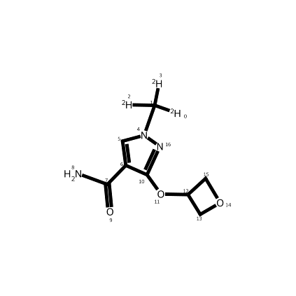 [2H]C([2H])([2H])n1cc(C(N)=O)c(OC2COC2)n1